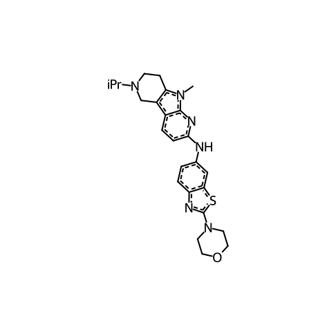 CC(C)N1CCc2c(c3ccc(Nc4ccc5nc(N6CCOCC6)sc5c4)nc3n2C)C1